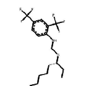 CCCCC[C@@H](CC)SCNc1ccc(C(F)(F)F)cc1C(F)(F)F